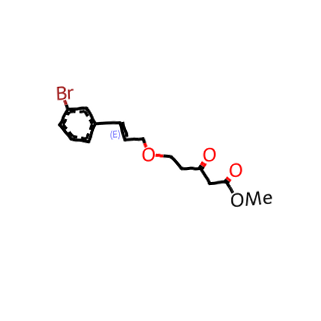 COC(=O)CC(=O)CCOC/C=C/c1cccc(Br)c1